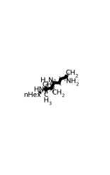 C=C(N)CCC(N)C(=C)C(C)(C)NCCCCCC